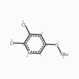 CCC[CH]Oc1cnc(Cl)c(Cl)c1